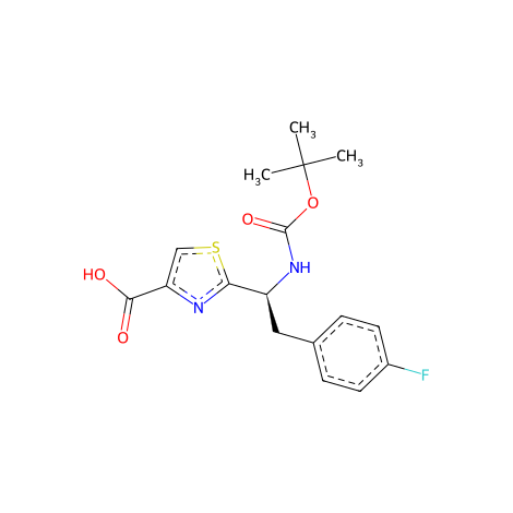 CC(C)(C)OC(=O)N[C@@H](Cc1ccc(F)cc1)c1nc(C(=O)O)cs1